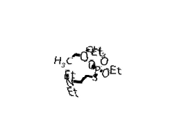 CCOC.CCOP(=O)(OCC)SCCN(CC)CC